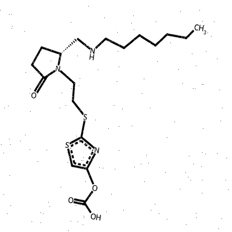 CCCCCCCNC[C@H]1CCC(=O)N1CCSc1nc(OC(=O)O)cs1